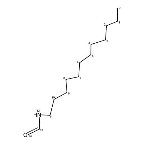 CCCCCCCCCCCCNC=O